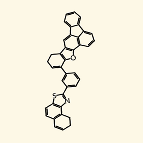 C1=Cc2ccc3sc(-c4cccc(C5=CCCc6c5oc5c6cc6c7c(cccc75)-c5ccccc5-6)c4)nc3c2CC1